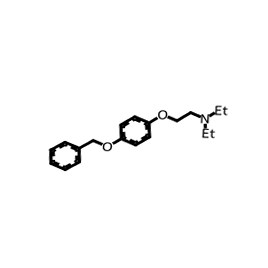 CCN(CC)CCOc1ccc(OCc2ccccc2)cc1